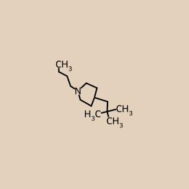 CCCCN1CCC(CC(C)(C)C)CC1